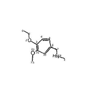 CCOc1ccc(CNC)cc1OC